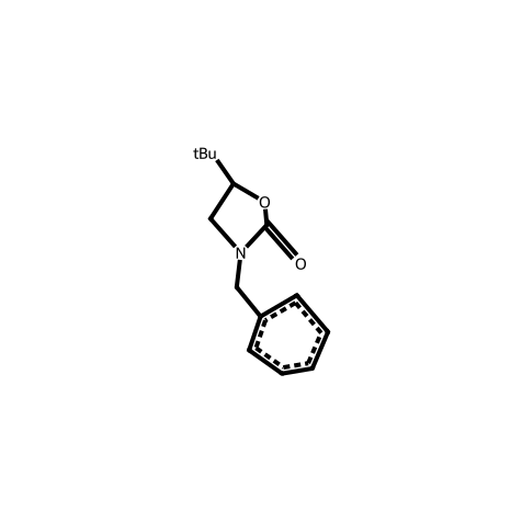 CC(C)(C)C1CN(Cc2ccccc2)C(=O)O1